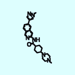 CN1CCN(C2CCC(C(=O)Nc3cc4cc(-c5cnn(C)c5)ccc4cn3)CC2)CC1